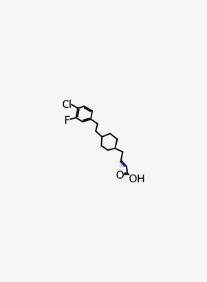 O=C(O)/C=C/CC1CCC(CCc2ccc(Cl)c(F)c2)CC1